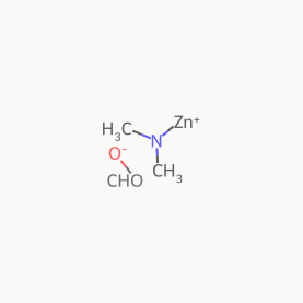 C[N](C)[Zn+].O=C[O-]